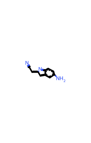 N#CC=C1C=c2cc(N)ccc2=N1